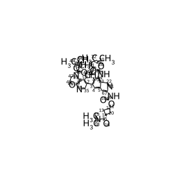 Cc1c(-c2cc3cc(NC(=O)O[C@H]4C[C@@H](C(=O)N(C)C)C4)ncc3c(NC(=O)OC(C)(C)C)c2F)cnc2c1N(C(=O)OC(C)(C)C)CCO2